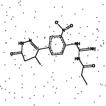 CCC(=O)NC(=N)Nc1ccc(C2=NNC(=O)CC2C)cc1[N+](=O)[O-]